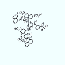 CS(=O)(=O)Nc1cccc(Nc2nc(Nc3cc(S(=O)(=O)O)cc4cc(S(=O)(=O)O)c(N=Nc5cccc6ccccc56)c(O)c34)nc(Nc3cc(S(=O)(=O)O)cc4cc(S(C)(=O)=O)c(NNc5cccc6ccccc56)c(O)c34)n2)c1